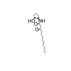 CCCCCCCCCC(=O)CC(=O)N[C@@H]1CCC[C@H]1O